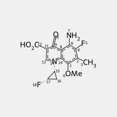 COc1c(C)c(F)c(N)c2c(=O)c(C(=O)O)cn([C@@H]3C[C@@H]3F)c12